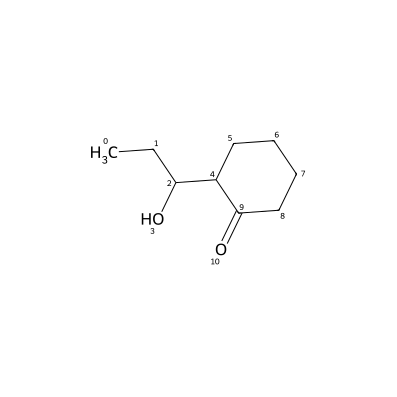 CCC(O)C1CCCCC1=O